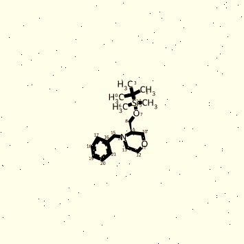 CC(C)(C)[Si](C)(C)OC[C@H]1COCCN1Cc1ccccc1